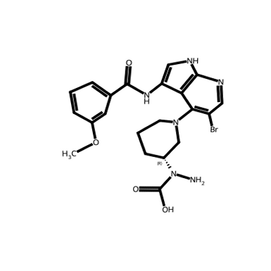 COc1cccc(C(=O)Nc2c[nH]c3ncc(Br)c(N4CCC[C@@H](N(N)C(=O)O)C4)c23)c1